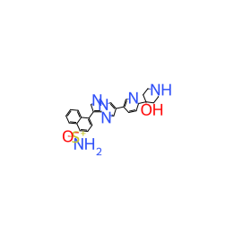 N[S+]([O-])c1ccc(-c2cnn3cc(-c4ccc(C5(O)CCNCC5)nc4)cnc23)c2ccccc12